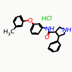 Cc1cccc(Oc2cccc(NC(=O)C3CNCC3c3ccccc3)c2)c1.Cl